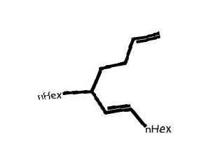 [CH2]CCCCCC(C=CCCCCCC)CCC=C